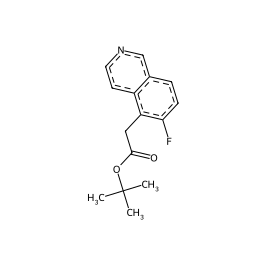 CC(C)(C)OC(=O)Cc1c(F)ccc2cnccc12